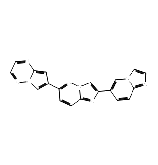 c1cn2cc(-c3cn4nc(-c5cc6nccnn6c5)ccc4n3)ccc2n1